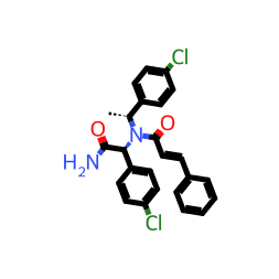 C[C@H](c1ccc(Cl)cc1)N(C(=O)C=Cc1ccccc1)[C@H](C(N)=O)c1ccc(Cl)cc1